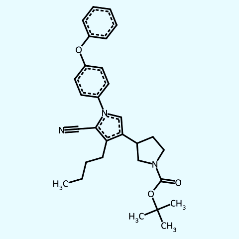 CCCCc1c(C2CCN(C(=O)OC(C)(C)C)C2)cn(-c2ccc(Oc3ccccc3)cc2)c1C#N